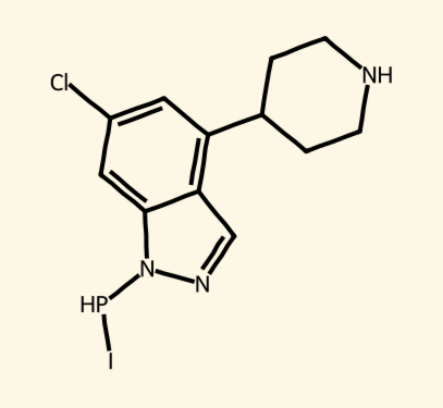 Clc1cc(C2CCNCC2)c2cnn(PI)c2c1